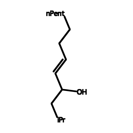 CCCCCCCC=CC(O)CC(C)C